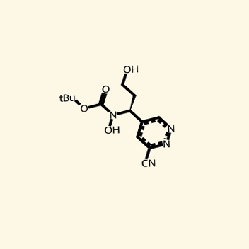 CC(C)(C)OC(=O)N(O)[C@@H](CCO)c1cnnc(C#N)c1